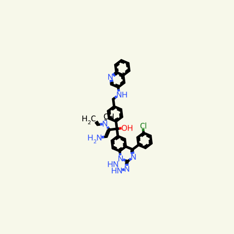 C=CN(C)/C(=C\N)C(O)(c1ccc(CNc2cnc3ccccc3c2)cc1)c1ccc2c(c1)C(c1cccc(Cl)c1)=NC1=NNNN12